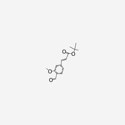 COc1cc(C=CC(=O)OC(C)(C)C)ccc1C=O